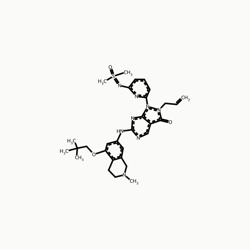 C=CCn1c(=O)c2cnc(Nc3cc4c(c(OCC(C)(C)C)c3)CCN(C)C4)nc2n1-c1cccc(N=S(C)(C)=O)n1